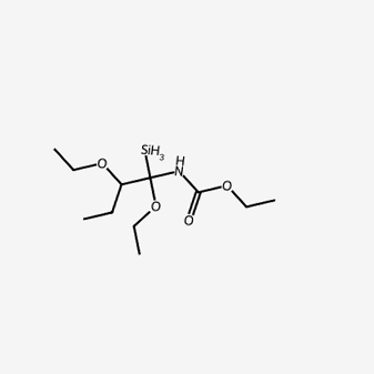 CCOC(=O)NC([SiH3])(OCC)C(CC)OCC